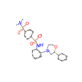 CN(C)S(=O)(=O)c1ccc(S(=O)(=O)Nc2ccccc2N2CCOC(c3ccccc3)C2)cc1